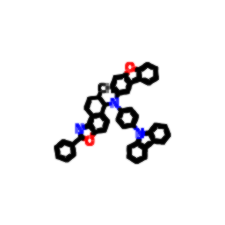 CC1C=Cc2c(ccc3oc(-c4ccccc4)nc23)C1N(c1ccc(-n2c3ccccc3c3ccccc32)cc1)c1ccc2oc3ccccc3c2c1